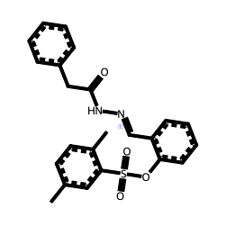 Cc1ccc(C)c(S(=O)(=O)Oc2ccccc2/C=N/NC(=O)Cc2ccccc2)c1